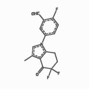 Cc1cn(-c2ccc(F)c(C=O)c2)c2c1C(=O)C(F)(F)CC2